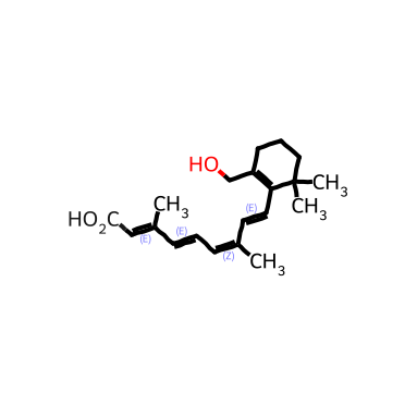 CC(=C/C=C/C(C)=C/C(=O)O)/C=C/C1=C(CO)CCCC1(C)C